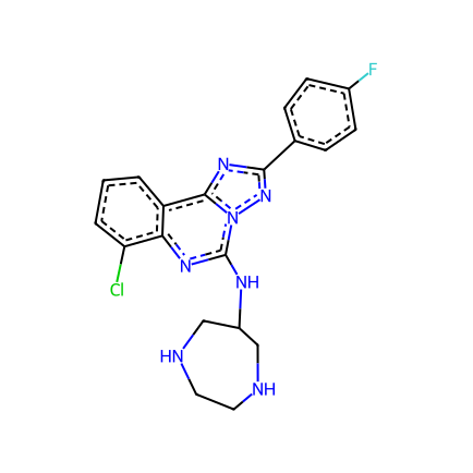 Fc1ccc(-c2nc3c4cccc(Cl)c4nc(NC4CNCCNC4)n3n2)cc1